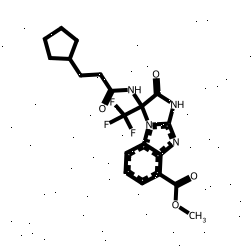 COC(=O)c1cccc2c1nc1n2C(NC(=O)CCC2CCCC2)(C(F)(F)F)C(=O)N1